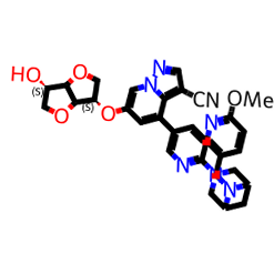 COc1ccc(CN2C3CC2CN(c2ccc(-c4cc(O[C@H]5COC6C5OC[C@@H]6O)cn5ncc(C#N)c45)cn2)C3)cn1